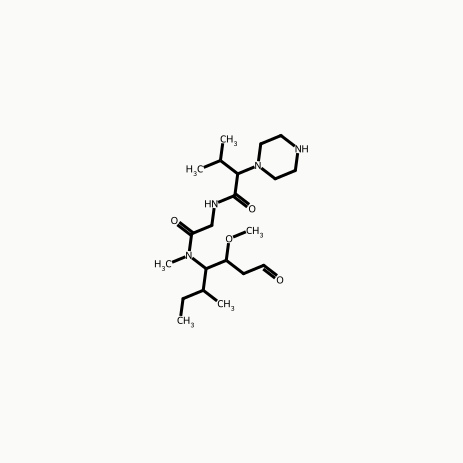 CCC(C)C(C(CC=O)OC)N(C)C(=O)CNC(=O)C(C(C)C)N1CCNCC1